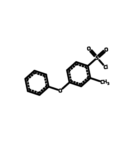 Cc1cc(Oc2ccccc2)ccc1S(=O)(=O)Cl